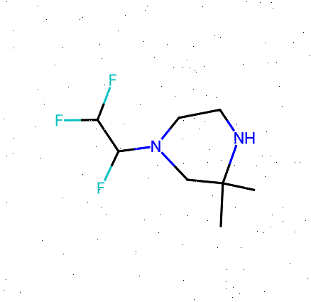 CC1(C)CN(C(F)C(F)F)CCN1